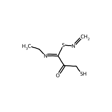 C=NS/C(=N\CC)C(=O)CS